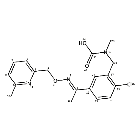 C/C(=N\OCc1cccc(C)n1)c1ccc(Cl)c(CN(C)C(=O)O)c1